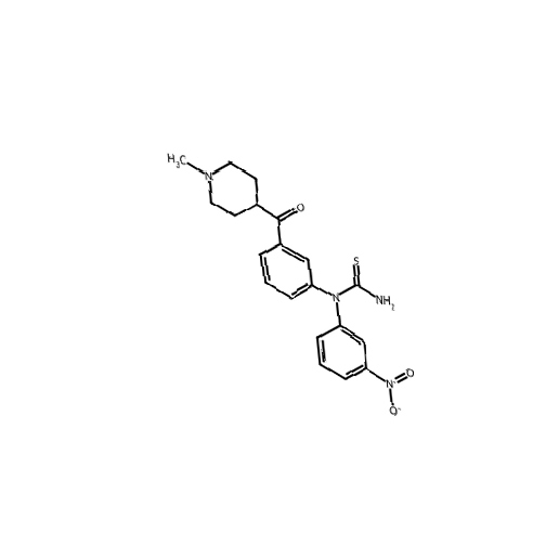 CN1CCC(C(=O)c2cccc(N(C(N)=S)c3cccc([N+](=O)[O-])c3)c2)CC1